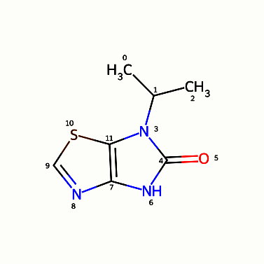 CC(C)n1c(=O)[nH]c2ncsc21